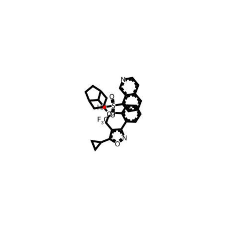 O=S(=O)(NC1C2CCC1CC(OCc1c(-c3ccccc3OC(F)(F)F)noc1C1CC1)C2)c1cccc2ccncc12